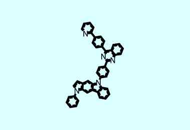 c1ccc(-n2ccc3cc4c(cc32)c2ccccc2n4-c2ccc(-c3nc(-c4ccc(-c5ccccn5)cc4)c4ccccc4n3)cc2)cc1